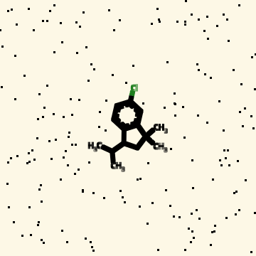 CC(C)C1CC(C)(C)c2cc(Cl)ccc21